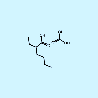 CCCCC(CC)C(=O)O.O=C(O)O